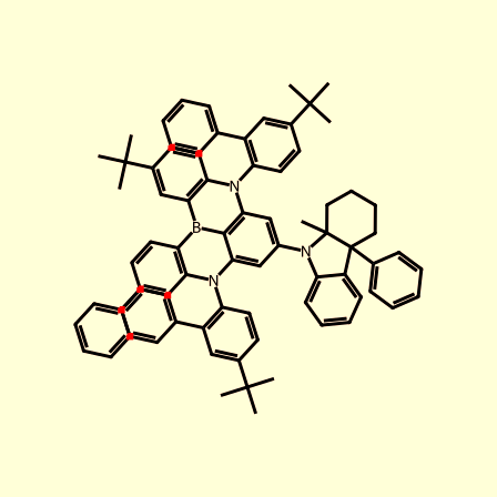 CC(C)(C)c1ccc2c(c1)B1c3ccc(-c4ccccc4)cc3N(c3ccc(C(C)(C)C)cc3-c3ccccc3)c3cc(N4c5ccccc5C5(c6ccccc6)CCCCC45C)cc(c31)N2c1ccc(C(C)(C)C)cc1-c1ccccc1